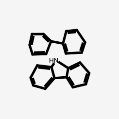 c1ccc(-c2ccccc2)cc1.c1ccc2c(c1)[nH]c1ccccc12